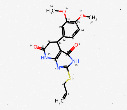 C=CCSc1nc2c(c(=O)[nH]1)C(c1ccc(OC)c(OC)c1)CC(=O)N2